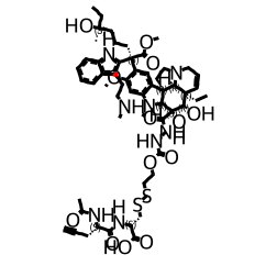 C#CC[C@H](NC(C)=O)C(=O)N[C@H](CSSCCOC(=O)NNC(=O)[C@@]1(O)[C@H](O)[C@]2(CC)C=CCN3CC[C@@]4(c5cc([C@](CCC[C@@](C)(O)CC)(C(=O)OC)c6[nH]c7ccccc7c6CCNC)c(OC)cc5N(C)[C@@H]14)[C@@H]32)C(=O)O